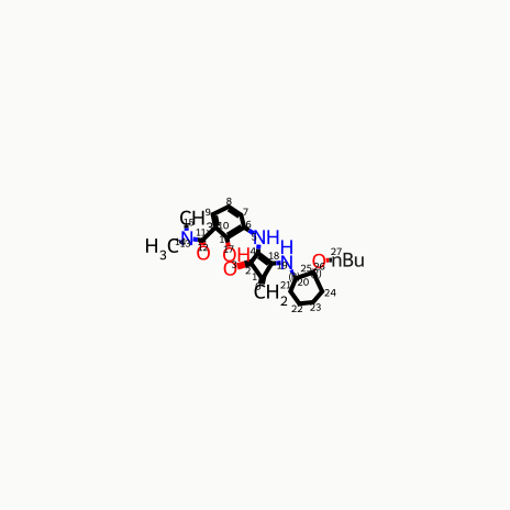 C=C1C(=O)C(Nc2cccc(C(=O)N(C)C)c2O)=C1N[C@@H]1CCCC[C@H]1OCCCC